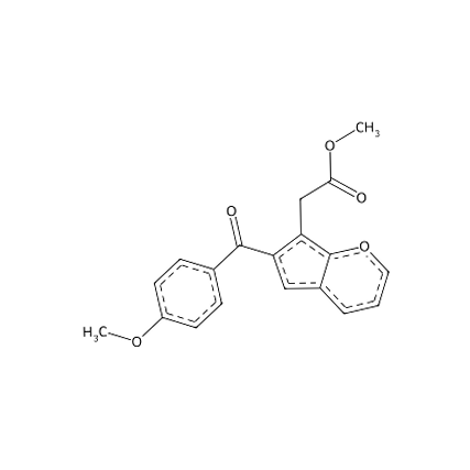 COC(=O)Cc1c(C(=O)c2ccc(OC)cc2)cc2cccoc1-2